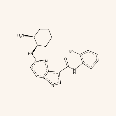 N[C@H]1CCCC[C@H]1Nc1ccn2ncc(C(=O)Nc3ccccc3Br)c2n1